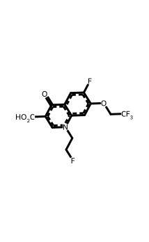 O=C(O)c1cn(CCF)c2cc(OCC(F)(F)F)c(F)cc2c1=O